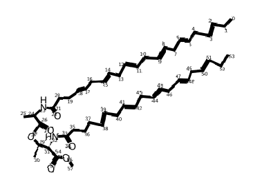 CCC=CCC=CCC=CCC=CCC=CCC=CCCC(=O)NC(C)C(=O)O[C@H](C)[C@H](NC(=O)CCCC=CCC=CCC=CCC=CCC=CCC)C(=O)OC